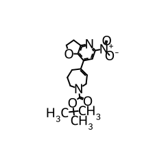 CC(C)(C)OC(=O)N1CC=C(c2cc([N+](=O)[O-])nc3c2OCC3)CCC1